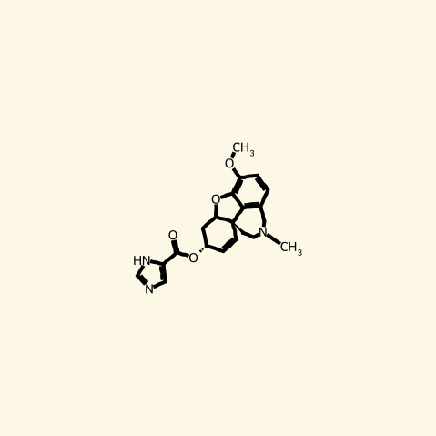 COc1ccc2c3c1OC1C[C@@H](OC(=O)c4cnc[nH]4)C=C[C@@]31CCN(C)C2